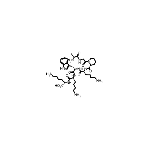 C[C@H](N)C(=O)NCC(=O)N1CCCC[C@H]1C(=O)N[C@@H](CCCCN)C(=O)N[C@@H](Cc1c[nH]c2ccccc12)C(=O)N[C@@H](CCCCN)C(=O)N[C@@H](CCCCN)C(=O)O